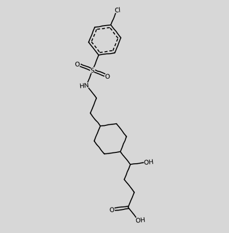 O=C(O)CCC(O)C1CCC(CCNS(=O)(=O)c2ccc(Cl)cc2)CC1